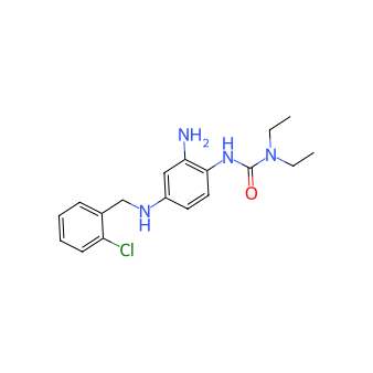 CCN(CC)C(=O)Nc1ccc(NCc2ccccc2Cl)cc1N